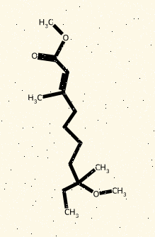 CCC(C)(CCCC/C(C)=C/C(=O)OC)OC